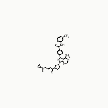 Nc1ncnc2c1c(-c1ccc(C(=O)Nc3cc(C(F)(F)F)ccn3)cc1)nn2[C@@H]1CCN(C(=O)C=CCNC2CC2)C1